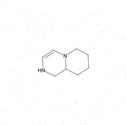 C1=CN2CCCCC2CN1